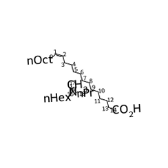 CCCCCCCC/C=C\CCCCCCCCCCCC(=O)O.CCCCCCN(C)CCC